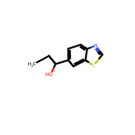 CCC(O)c1ccc2ncsc2c1